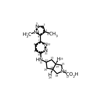 Cc1cnn(C)c1-c1ccc(NC2C[C@@H]3CN(C(=O)O)C[C@@H]3C2)nn1